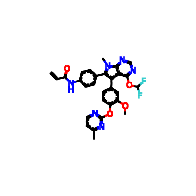 C=CC(=O)Nc1ccc(-c2c(-c3ccc(Oc4nccc(C)n4)c(OC)c3)c3c(OC(F)F)ncnc3n2C)cc1